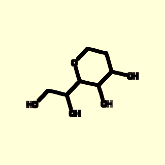 OCC(O)C1OCCC(O)C1O